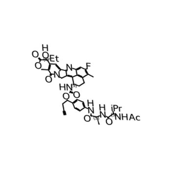 C#CCC(OC(=O)N[C@H]1CCc2c(C)c(F)cc3nc4c(c1c23)Cn1c-4cc2c(c1=O)COC(=O)[C@]2(O)CC)c1ccc(NC(=O)[C@H](C)NC(=O)[C@@H](NC(C)=O)C(C)C)cc1